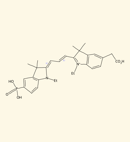 CCN1/C(=C\C=C\C2=[N+](CC)c3ccc(CC(=O)O)cc3C2(C)C)C(C)(C)c2cc(P(=O)(O)O)ccc21